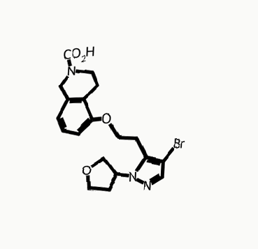 O=C(O)N1CCc2c(cccc2OCCc2c(Br)cnn2C2CCOC2)C1